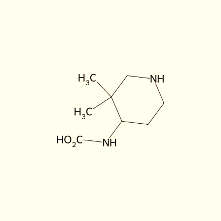 CC1(C)CNCCC1NC(=O)O